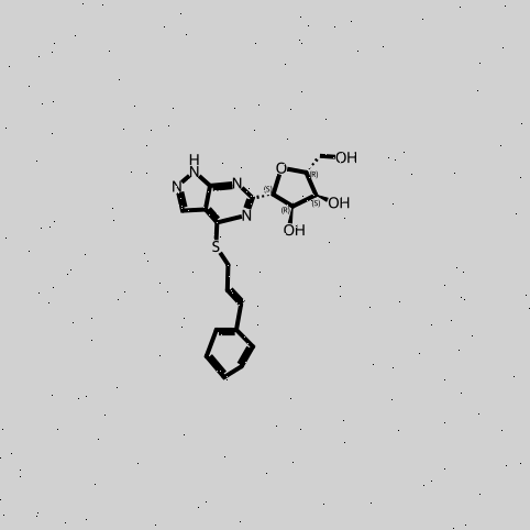 OC[C@H]1O[C@@H](c2nc(SCC=Cc3ccccc3)c3cn[nH]c3n2)[C@H](O)[C@@H]1O